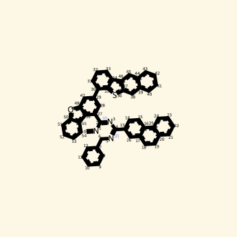 C=N/C(=N\C(=N/Cc1ccccc1)c1ccc2c(ccc3ccccc32)c1)c1cc(-c2cccc3c2sc2cc4ccccc4cc23)cc2oc3ccccc3c12